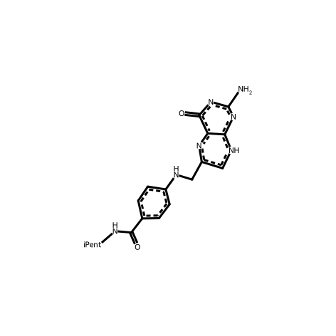 [CH2]CCC([CH2])NC(=O)c1ccc(NCc2c[nH]c3nc(N)nc(=O)c-3n2)cc1